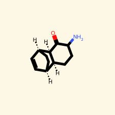 NC1CC[C@@H]2[C@H](C1=O)[C@@H]1C=C[C@H]2CC1